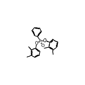 Cc1cccc(OP(=O)(Oc2cccc(C)c2C)c2ccccc2)c1C